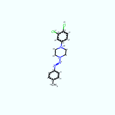 Cc1ccc(N=NN2CCN(c3ccc(Cl)c(Cl)c3)CC2)cc1